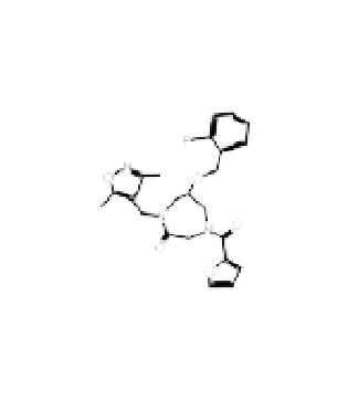 Cc1noc(C)c1CN1CC(OCc2ccccc2F)CN(C(=O)c2ccco2)CC1=O